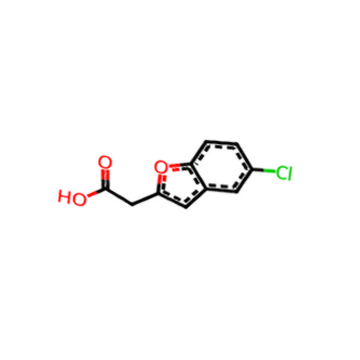 O=C(O)Cc1cc2cc(Cl)ccc2o1